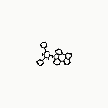 c1ccc(-c2nc(-c3ccccc3)nc(-n3c4cccc5c4c4c(cccc43)-c3cccc4cccc-5c34)n2)cc1